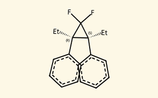 CC[C@]1(c2ccccc2)C(F)(F)[C@@]1(CC)c1ccccc1